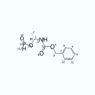 C[C@H](NC(=O)OCc1ccccc1)O[PH](C)=O